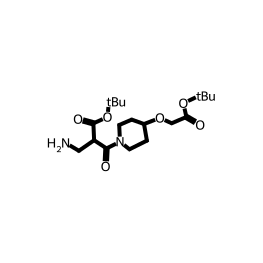 CC(C)(C)OC(=O)COC1CCN(C(=O)C(CN)C(=O)OC(C)(C)C)CC1